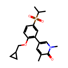 Cc1cc(-c2cc(S(=O)(=O)C(C)C)ccc2OCC2CC2)cn(C)c1=O